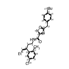 CC/C=C(/CCNC(=O)c1noc(Cc2ccc(C(C)(C)C)cc2)n1)c1cc(Cl)ccc1C